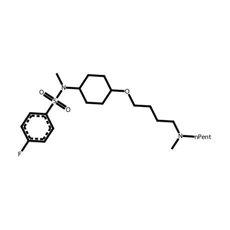 CCCCCN(C)CCCCOC1CCC(N(C)S(=O)(=O)c2ccc(F)cc2)CC1